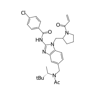 C=CC(=O)N1CCCC1Cn1c(NC(=O)c2ccc(Cl)cc2)nc2cc(CN(C(C)=O)[C@@H](C)C(C)(C)C)ccc21